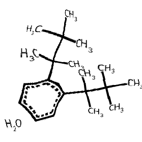 CC(C)(C)C(C)(C)c1ccccc1C(C)(C)C(C)(C)C.O